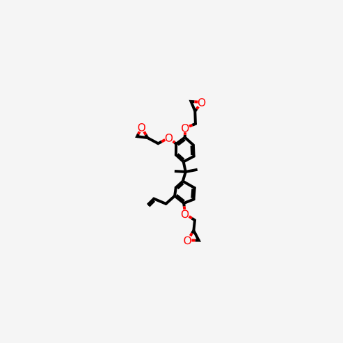 C=CCc1cc(C(C)(C)c2ccc(OCC3CO3)c(OCC3CO3)c2)ccc1OCC1CO1